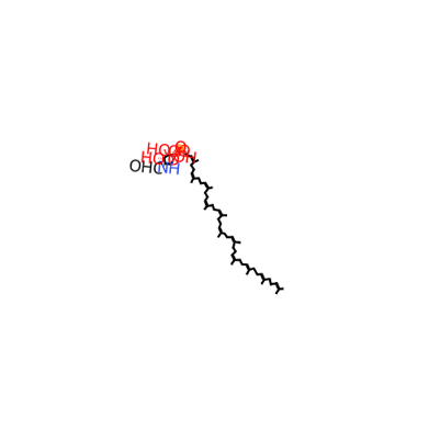 CC(C)=CCC/C(C)=C/CC/C(C)=C/CC/C(C)=C\CC/C(C)=C\CC/C(C)=C\CC/C(C)=C\CC/C(C)=C\CC/C(C)=C\CC/C(C)=C\CC/C(C)=C\COP(=O)(O)O[C@@H]1OC[C@H](NC=O)[C@H](O)[C@H]1O